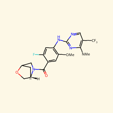 CNc1nc(Nc2cc(F)c(C(=O)N3CC4C[C@H]3CO4)cc2OC)ncc1C(F)(F)F